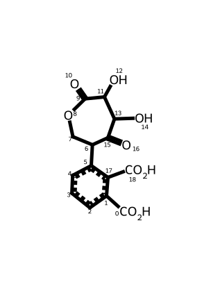 O=C(O)c1cccc(C2COC(=O)C(O)C(O)C2=O)c1C(=O)O